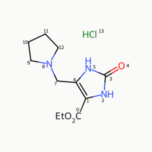 CCOC(=O)c1[nH]c(=O)[nH]c1CN1CCCC1.Cl